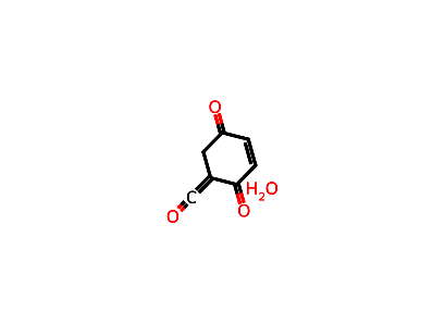 O.O=C=C1CC(=O)C=CC1=O